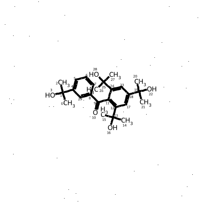 CC(C)(O)c1cccc(C(=O)c2c(C(C)(C)O)cc(C(C)(C)O)cc2C(C)(C)O)c1